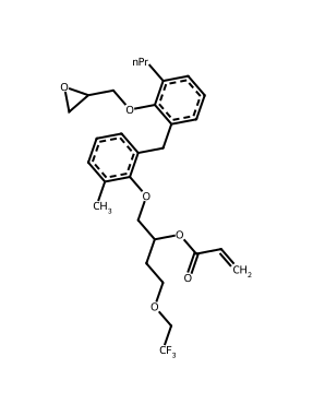 C=CC(=O)OC(CCOCC(F)(F)F)COc1c(C)cccc1Cc1cccc(CCC)c1OCC1CO1